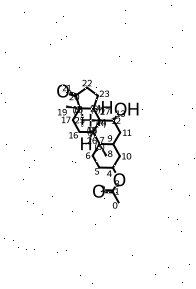 CC(=O)OC1CC[C@@]2(C)C(C1)CC(O)[C@@H]1[C@H]2CC[C@]2(C)C(=O)CC[C@@H]12